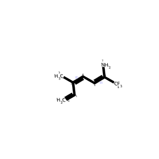 C=C/C(C)=C\C=C(/N)C(F)(F)F